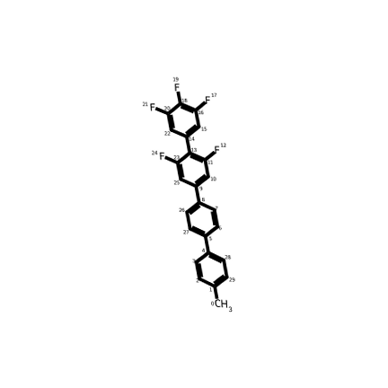 Cc1ccc(-c2ccc(-c3cc(F)c(-c4cc(F)c(F)c(F)c4)c(F)c3)cc2)cc1